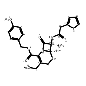 COc1ccc(COC(=O)C2=C(COC(C)=O)CS[C@H]3N2C(=O)[C@]3(NC(=O)Cc2cccs2)SC)cc1